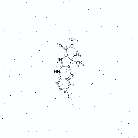 COC(=O)[C@@H]1N=C(Nc2ccc(Cl)cc2O)SC1(C)C